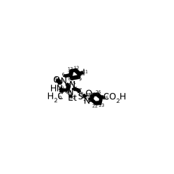 C=C1NC(=O)N(Cc2ccc(I)cc2)c2nc(CSc3nc4ccc(C(=O)O)cc4o3)n(CC)c21